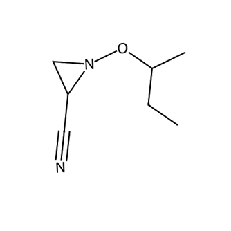 CCC(C)ON1CC1C#N